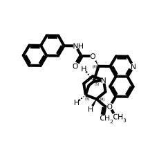 C=C[C@H]1CN2CC[C@H]1C[C@H]2[C@H](OC(=O)Nc1ccc2ccccc2c1)c1ccnc2ccc(OC)cc12